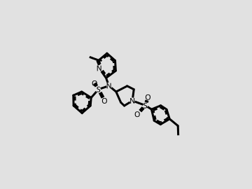 CCc1ccc(S(=O)(=O)N2CCC(N(c3cccc(C)n3)S(=O)(=O)c3ccccc3)CC2)cc1